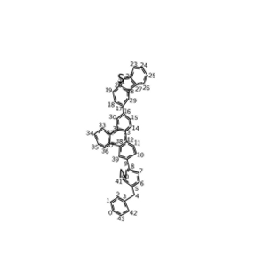 c1ccc(Cc2ccc(-c3ccc4c5ccc(-c6ccc7sc8ccccc8c7c6)cc5c5ccccc5c4c3)nc2)cc1